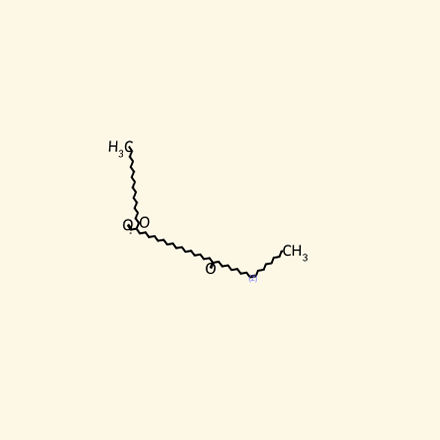 CCCCCCCC/C=C\CCCCCCCC(=O)CCCCCCCCCCCCCCCCC([C]=O)C(=O)CCCCCCCCCCCCCCC